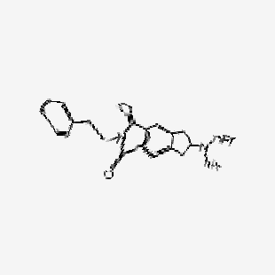 CCCN(CCC)C1Cc2cc3c(cc2C1)C(=O)N(CCc1ccccc1)C3=O